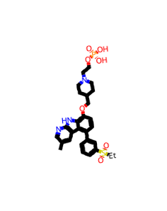 CCS(=O)(=O)c1cccc(-c2ccc(OCC3CCN(CCOP(=O)(O)O)CC3)c3[nH]c4ncc(C)cc4c23)c1